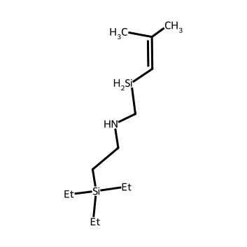 CC[Si](CC)(CC)CCNC[SiH2]C=C(C)C